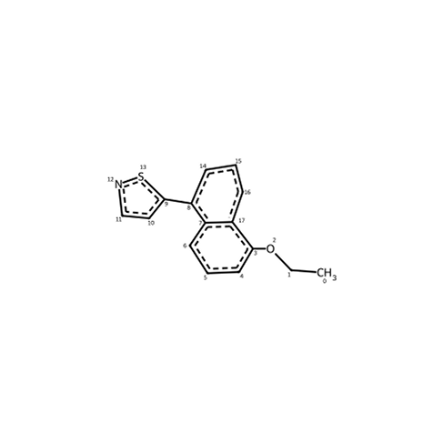 CCOc1cccc2c(-c3ccns3)cccc12